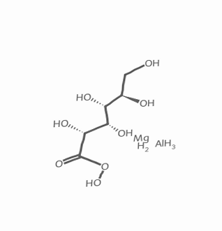 O=C(OO)[C@H](O)[C@@H](O)[C@H](O)[C@H](O)CO.[AlH3].[MgH2]